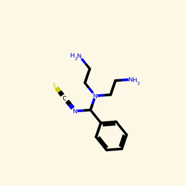 NCCN(CCN)C(N=C=S)c1ccccc1